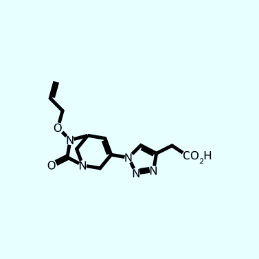 C=CCON1C(=O)N2CC(n3cc(CC(=O)O)nn3)=CC1C2